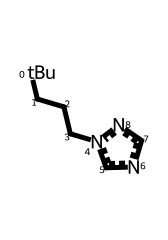 CC(C)(C)CCCn1cncn1